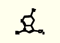 CCN1C=C(C(F)(F)F)C2CC(Br)=CN=C21